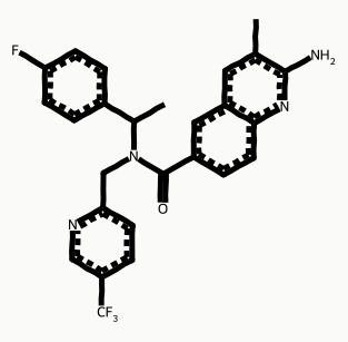 Cc1cc2cc(C(=O)N(Cc3ccc(C(F)(F)F)cn3)C(C)c3ccc(F)cc3)ccc2nc1N